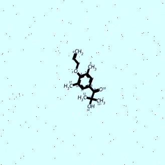 C=CCOc1c(C)cc(C(=O)C(C)(C)O)cc1C